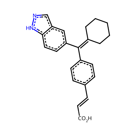 O=C(O)C=Cc1ccc(C(=C2CCCCC2)c2ccc3[nH]ncc3c2)cc1